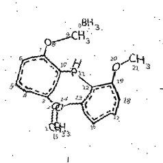 B.COc1cccc(OC)c1Pc1c(OC)cccc1OC